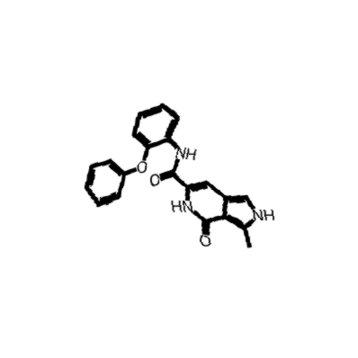 Cc1[nH]cc2cc(C(=O)Nc3ccccc3Oc3ccccc3)[nH]c(=O)c12